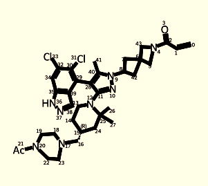 C=CC(=O)N1CC2(CC(n3nc(N4CC[C@@H](CN5CCN(C(C)=O)CC5)CC4(C)C)c(-c4c(Cl)c(Cl)cc5[nH]ncc45)c3C)C2)C1